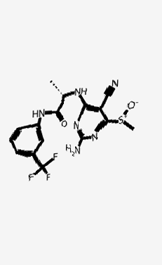 C[C@H](Nc1nc(N)nc([S+](C)[O-])c1C#N)C(=O)Nc1cccc(C(F)(F)F)c1